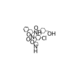 O=C(NC(Cc1ccccc1)C(=O)N1C(=O)OC2(CCNC2)c2cc(Cl)ccc21)C1CCC(CO)CC1